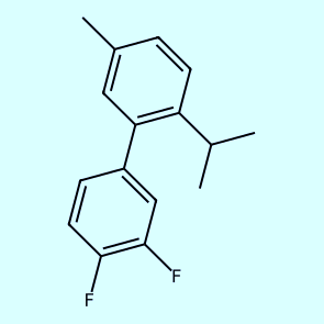 Cc1ccc(C(C)C)c(-c2ccc(F)c(F)c2)c1